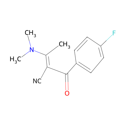 CC(=C(C#N)C(=O)c1ccc(F)cc1)N(C)C